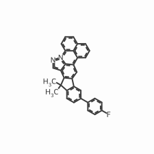 CC1(C)c2ccc(-c3ccc(F)cc3)cc2-c2cc3c4cccc5cccc(c54)n4ncc(c21)c34